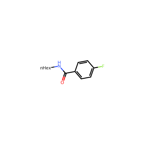 CCCCCCNC(=O)c1ccc(F)cc1